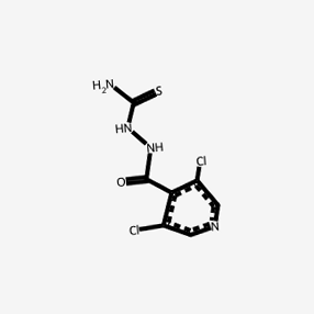 NC(=S)NNC(=O)c1c(Cl)cncc1Cl